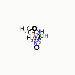 CC(C)c1cccc(NC(=O)CC2CS/C(=N\C3CCCCC3)N2C)c1.Cl